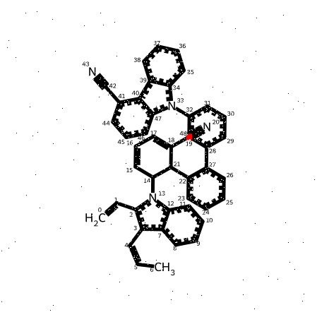 C=Cc1c(/C=C\C)c2ccccc2n1C1C=CC=C(C#N)C1c1ccccc1-c1cccc(-n2c3ccccc3c3c(C#N)cccc32)c1